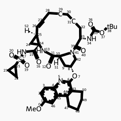 COc1ccc2nc(O[C@@H]3C[C@H]4C(=O)N[C@]5(C(=O)NS(=O)(=O)C6CC6)C[C@H]5/C=C\CCCCC[C@H](NC(=O)OC(C)(C)C)C(=O)N4C3)c3c(c2c1)CCCC3